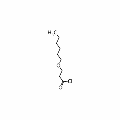 CCCCCCOCCC(=O)Cl